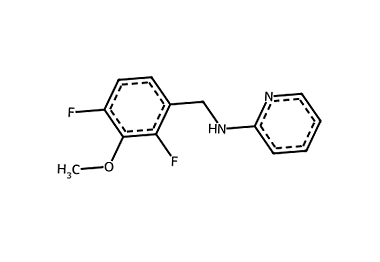 COc1c(F)ccc(CNc2ccccn2)c1F